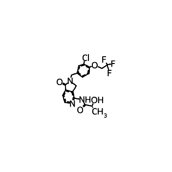 C[C@@H](O)C(=O)Nc1nccc2c1CN(Cc1ccc(OCC(F)(F)F)c(Cl)c1)C2=O